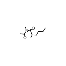 CCCCC(C)C(=O)N(C)C(C)=O